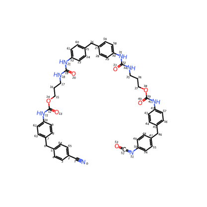 N#Cc1ccc(Cc2ccc(NC(=O)OCCCNC(=O)Nc3ccc(Cc4ccc(NC(=O)NCCCOC(=O)Nc5ccc(Cc6ccc(N=C=O)cc6)cc5)cc4)cc3)cc2)cc1